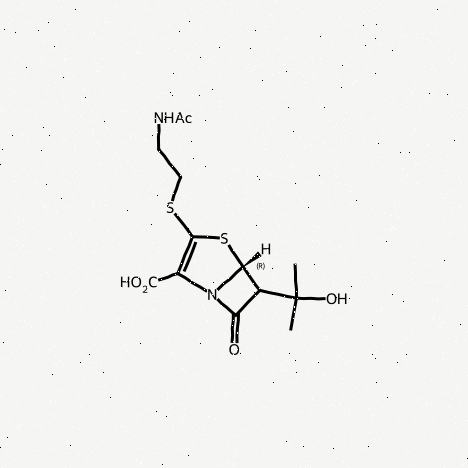 CC(=O)NCCSC1=C(C(=O)O)N2C(=O)C(C(C)(C)O)[C@H]2S1